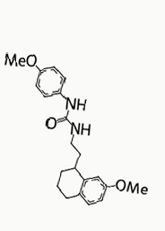 COc1ccc(NC(=O)NCCC2CCCc3ccc(OC)cc32)cc1